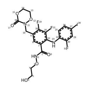 O=C(NOCCO)c1cc(CN2OCCOC2=O)c(F)c(F)c1Nc1ccc(I)cc1F